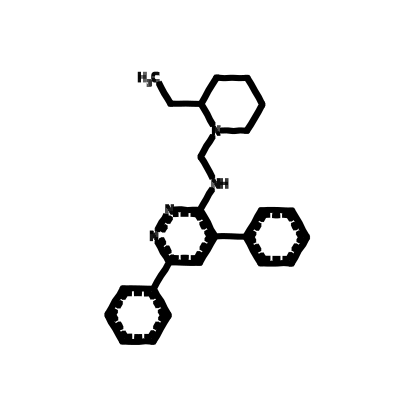 CCC1CCCCN1CNc1nnc(-c2ccccc2)cc1-c1ccccc1